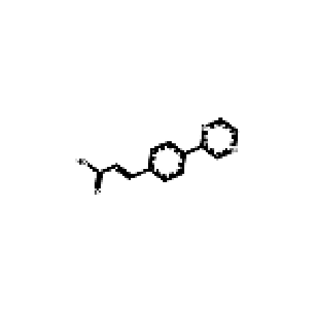 O=C(O)C=Cc1ccc(-c2cnccn2)cc1